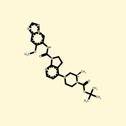 COc1cc2ncnn2cc1NC(=O)N1CCc2c(N3CCN(C(=O)OC(C)(C)C)[C@H](C)C3)ccnc21